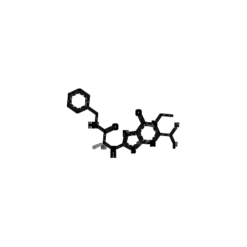 CCn1c(C(F)F)nc2sc(N[C@H](C)C(=O)NCc3ccccc3)nc2c1=O